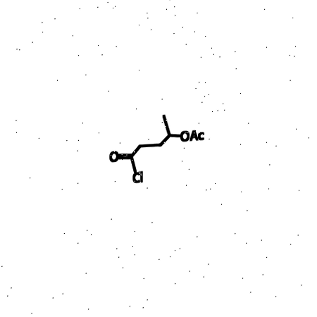 CC(=O)OC(C)CCC(=O)Cl